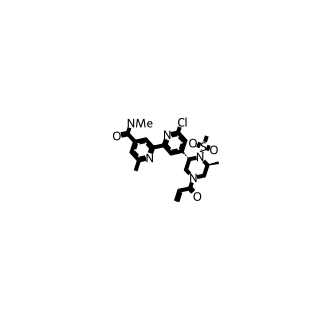 C=CC(=O)N1C[C@H](c2cc(Cl)nc(-c3cc(C(=O)NC)cc(C)n3)c2)N(S(C)(=O)=O)[C@@H](C)C1